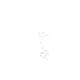 CCOP(=O)(OCC)C(OC[C@@H]1CC[C@H](n2cnc3c(Cl)nc(Cl)nc32)O1)S(=O)(=O)CC